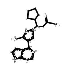 NC(=O)C[C@H](C1CCCC1)n1cc(-c2ncnc3[nH]ccc23)c(N)n1